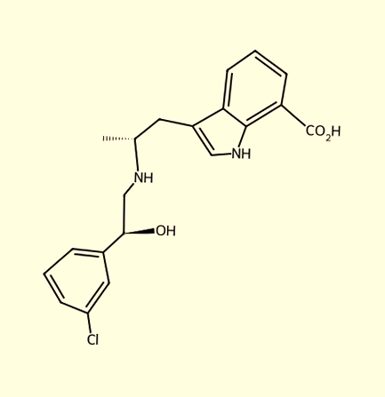 C[C@H](Cc1c[nH]c2c(C(=O)O)cccc12)NC[C@@H](O)c1cccc(Cl)c1